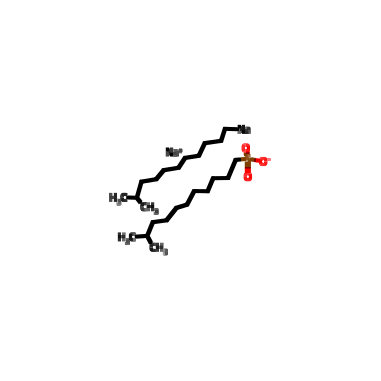 CC(C)CCCCCCCCCS(=O)(=O)[O-].CC(C)CCCCCCCC[CH2][Na].[Na+]